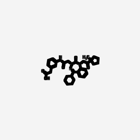 CC1(C(=O)CN2C(=O)N(CC(=O)Nc3cccc(CC(=O)O)c3)N=C(C3CCCCC3)c3ccccc32)CCCC1